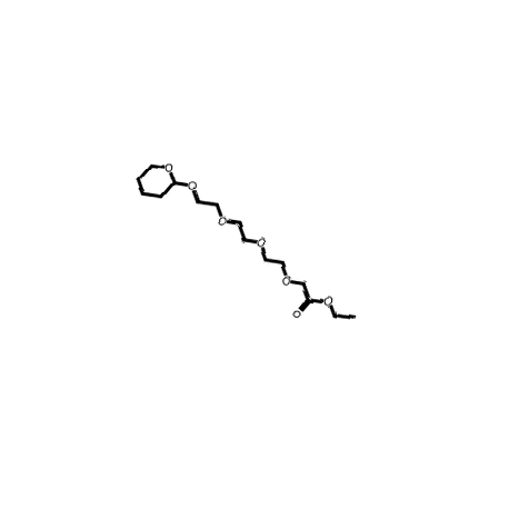 CCOC(=O)COCCOCCOCCOC1CCCCO1